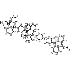 Cc1cc(N2c3ccccc3N(C)c3ccccc32)cc(C)c1B1c2ccccc2N(c2ccc(-c3ccc(N4c5ccccc5N(C)c5ccccc54)cc3)cc2)c2ccccc21